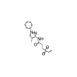 C=CS(=O)(=O)CCC(=O)Nc1nn(-c2ccccc2)cc1C